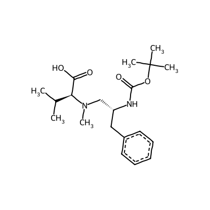 CC(C)[C@@H](C(=O)O)N(C)C[C@@H](Cc1ccccc1)NC(=O)OC(C)(C)C